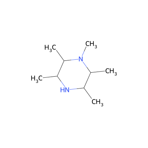 CC1NC(C)C(C)N(C)C1C